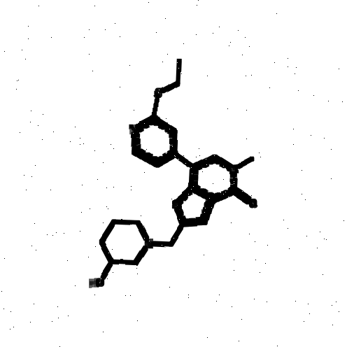 CCOc1cc(-c2cn(C)c(=O)c3cc(CN4CCCC(O)C4)sc23)ccn1